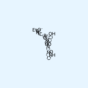 CC[S+]([O-])N=C=C=CC=C=C=NC(=O)[C@@H](Cc1ccc(O)c(Br)c1)OC(=O)N1CCC(N2CCc3ccccc3NC2=O)CC1